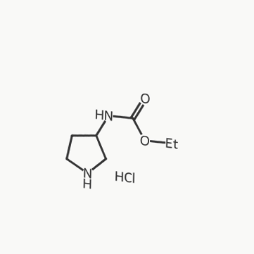 CCOC(=O)NC1CCNC1.Cl